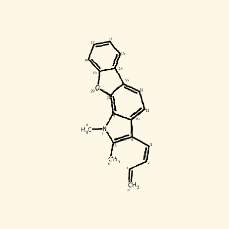 C=C/C=C\c1c(C)n(C)c2c1ccc1c3ccccc3oc12